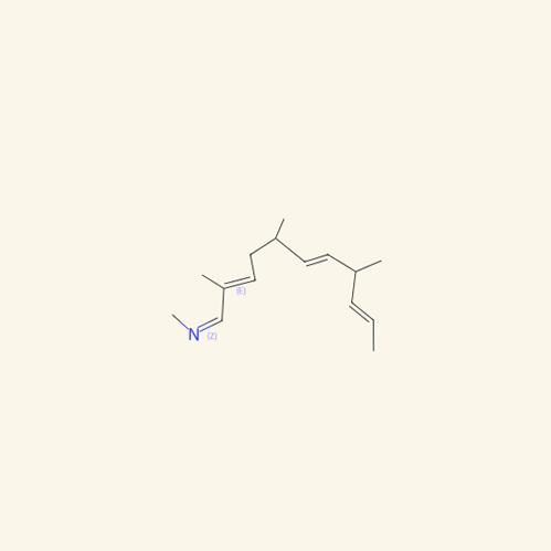 CC=CC(C)C=CC(C)C/C=C(C)/C=N\C